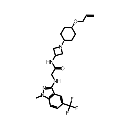 C=CCO[C@H]1CC[C@@H](N2CC(NC(=O)CNc3nn(C)c4ccc(C(F)(F)F)cc34)C2)CC1